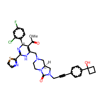 COC(=O)C1=C(CN2CCN3C(=O)N(CC#Cc4ccc(C5(O)CCC5)cc4)C[C@@H]3C2)NC(c2nccs2)=N[C@H]1c1ccc(F)cc1Cl